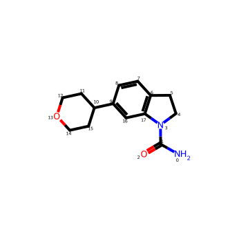 NC(=O)N1CCc2ccc(C3CCOCC3)cc21